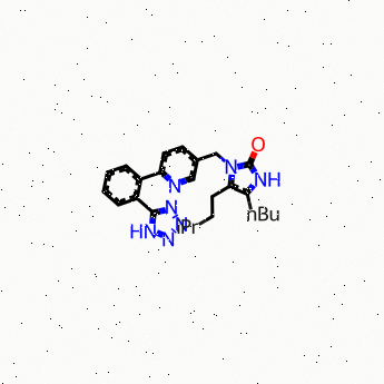 CCCCc1[nH]c(=O)n(Cc2ccc(-c3ccccc3-c3nnn[nH]3)nc2)c1CCC(C)C